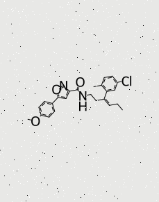 CC/C=C(/CCNC(=O)c1cc(-c2ccc(OC)cc2)on1)c1cc(Cl)ccc1C